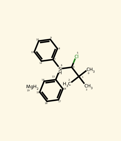 CC(C)(C)C(Cl)[SiH](c1ccccc1)c1ccccc1.[MgH2]